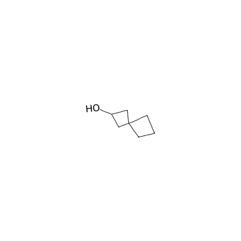 OC1CC2(CCC2)C1